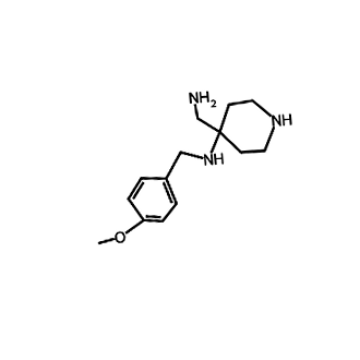 COc1ccc(CNC2(CN)CCNCC2)cc1